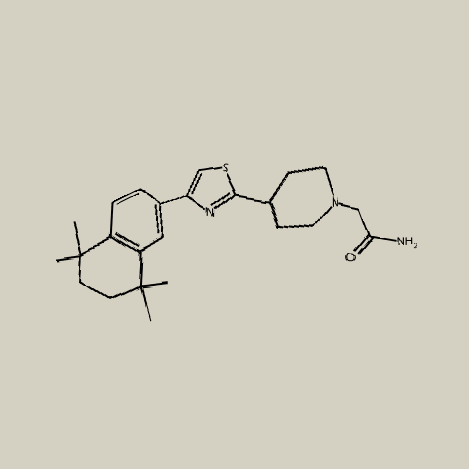 CC1(C)CCC(C)(C)c2cc(-c3csc(C4CCN(CC(N)=O)CC4)n3)ccc21